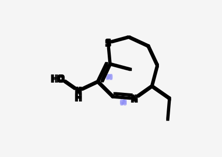 CCC1CCCS/C(C)=C(NO)/C=N\1